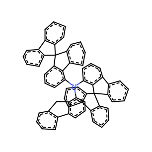 c1ccc2c(c1)Cc1c-2cccc1N(c1cccc2c1-c1ccccc1C21c2ccccc2-c2ccccc21)c1cccc2c1C1(c3ccccc3-c3ccccc31)c1ccccc1-2